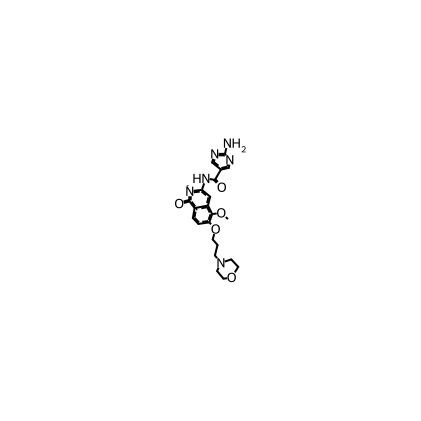 COc1c(OCCCN2CCOCC2)ccc2c(=O)n(C)c(NC(=O)c3cnc(N)nc3)cc12